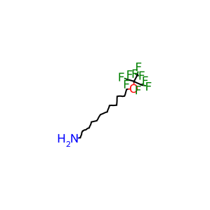 NCCCCCCCCCCCCOC(C(F)(F)F)(C(F)(F)F)C(F)(F)F